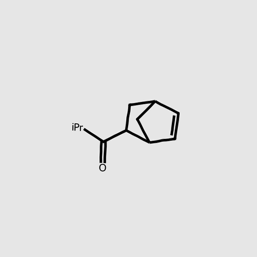 CC(C)C(=O)C1CC2C=CC1C2